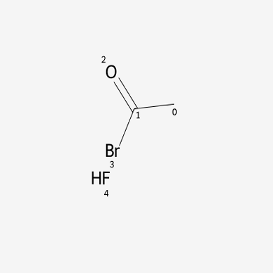 CC(=O)Br.F